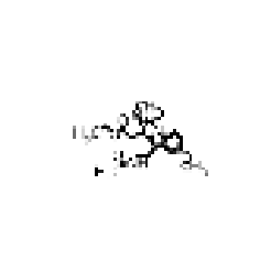 CCOC(=O)CC1c2c(CCNC(C)=O)c3cc(OC)ccc3n2C(=O)N1OC